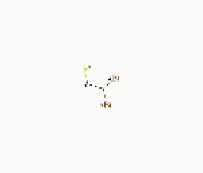 [S]CC(Br)Br